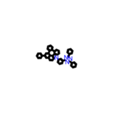 c1ccc(-c2cc3c4c(ccc5c4c4c(cccc4n5-c4cccc(-c5nc(-c6ccccc6)nc(-c6ccccc6)n5)c4)-c4ccccc4-3)c2)cc1